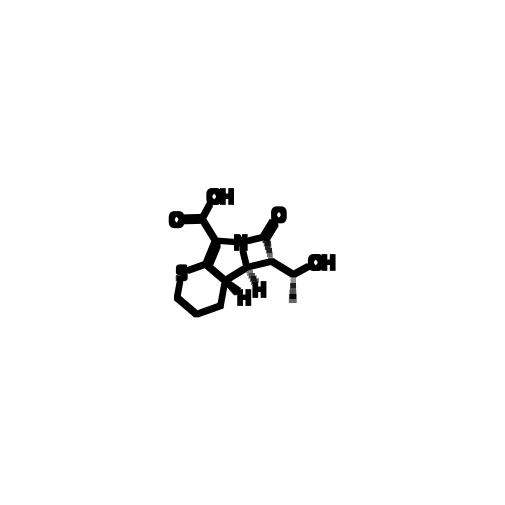 C[C@@H](O)[C@H]1C(=O)N2C(C(=O)O)=C3SCCC[C@H]3[C@H]12